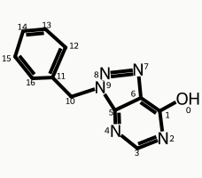 Oc1ncnc2c1nnn2Cc1ccccc1